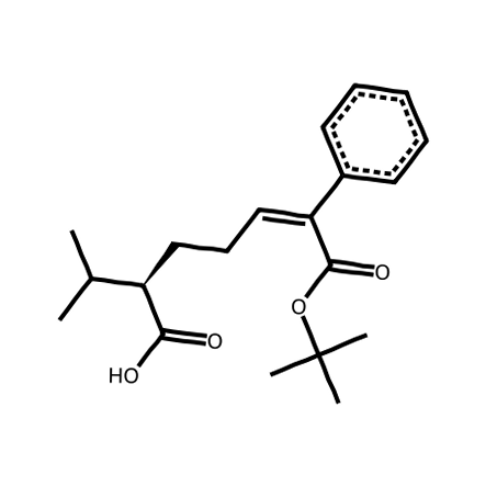 CC(C)[C@@H](CC/C=C(\C(=O)OC(C)(C)C)c1ccccc1)C(=O)O